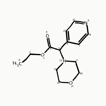 CCOC(=O)C(c1ccncc1)N1CCOCC1